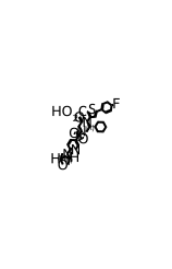 O=C(O)c1sc(C2=CCC(F)C=C2)cc1N1C(=O)CN(S(=O)(=O)c2ccc(N3C[C@H]4C[C@@H]3CO4)nc2)C[C@H]1C1CCCCC1